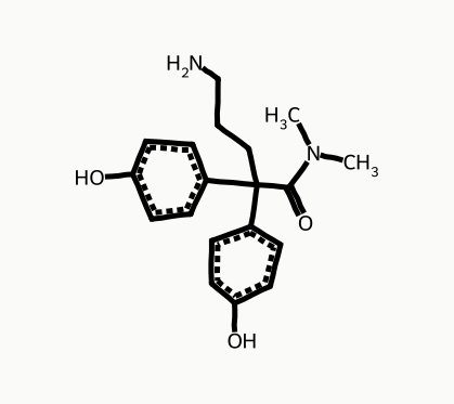 CN(C)C(=O)C(CCCN)(c1ccc(O)cc1)c1ccc(O)cc1